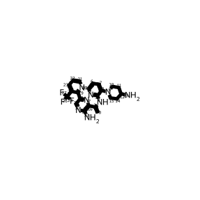 C=C(Nc1ncccc1N1CCC(N)CC1)c1nc(-c2ncccc2C(F)(F)F)cnc1N